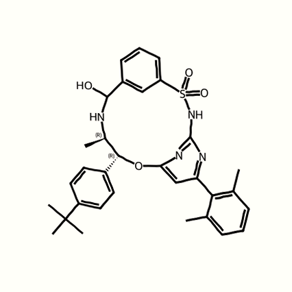 Cc1cccc(C)c1-c1cc2nc(n1)NS(=O)(=O)c1cccc(c1)C(O)N[C@H](C)[C@@H](c1ccc(C(C)(C)C)cc1)O2